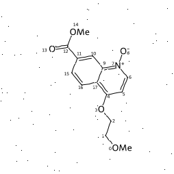 COCCOc1cc[n+]([O-])c2cc(C(=O)OC)ccc12